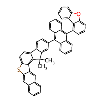 CC1(C)c2cc(-c3c4ccccc4c(-c4cccc5oc6ccccc6c45)c4ccccc34)ccc2-c2ccc3sc4cc5ccccc5cc4c3c21